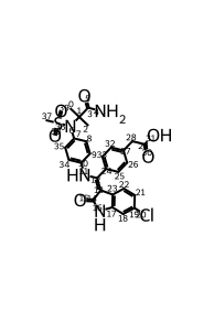 CC(C)(C(N)=O)N(c1ccc(N/C(=C2\C(=O)Nc3cc(Cl)ccc32)c2ccc(CC(=O)O)cc2)cc1)S(C)(=O)=O